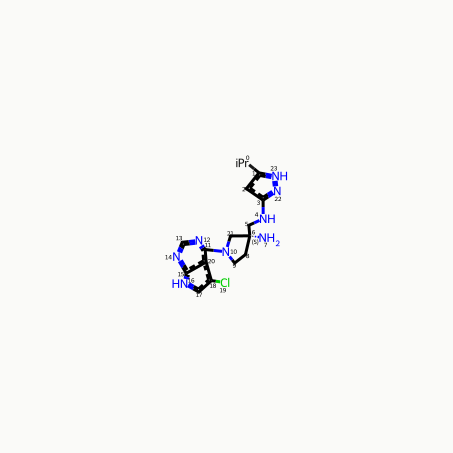 CC(C)c1cc(NC[C@@]2(N)CCN(c3ncnc4[nH]cc(Cl)c34)C2)n[nH]1